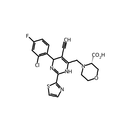 C#CC1=C(CN2CCOC[C@H]2C(=O)O)NC(c2nccs2)=NC1c1ccc(F)cc1Cl